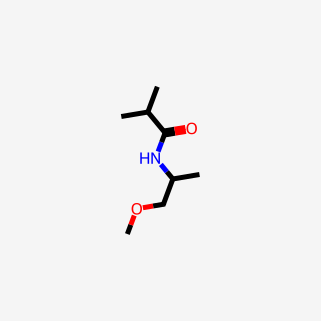 COCC(C)NC(=O)C(C)C